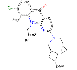 COC1CC(CN(CC2CC2)c2ccc3c(=O)c4ccc(Cl)c(SC)c4n(CC(=O)[O-])c3n2)C1.[Na+]